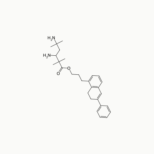 CC(C)(N)CC(N)C(C)(C)C(=O)OCCCc1cccc2c1CCC(c1ccccc1)=C2